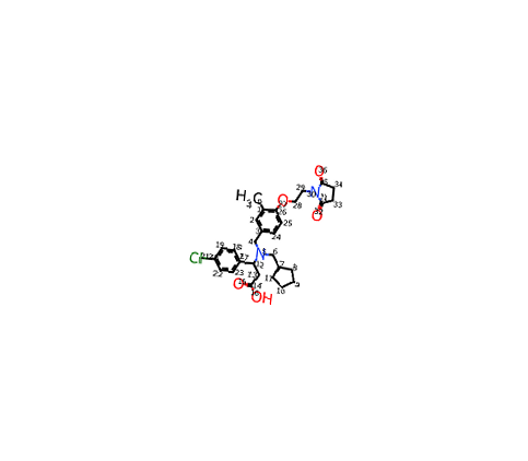 Cc1cc(CN(CC2CCCC2)C(CC(=O)O)c2ccc(Cl)cc2)ccc1OCCN1C(=O)CCC1=O